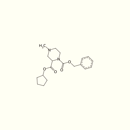 CN1CCN(C(=O)OCc2ccccc2)C(C(=O)OC2CCCC2)C1